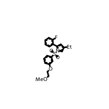 CCc1cc(-c2ccccc2F)n(S(=O)(=O)c2cccc(OCCOC)c2)c1